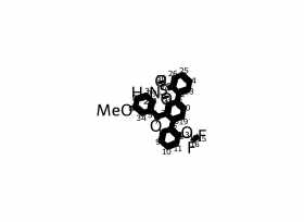 COc1cccc(C2Oc3cccc(OC(F)F)c3-c3ccc(-c4ccccc4S(N)(=O)=O)cc32)c1